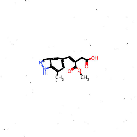 COC(=O)C(=Cc1cc(C)c2[nH]ncc2c1)CC(=O)O